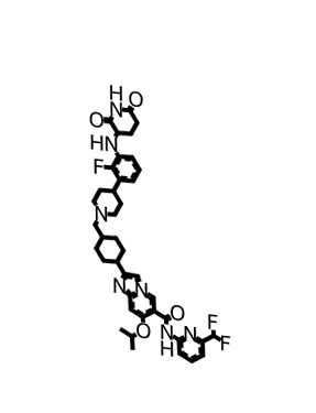 CC(C)Oc1cc2nc(C3CCC(CN4CCC(c5cccc(NC6CCC(=O)NC6=O)c5F)CC4)CC3)cn2cc1C(=O)Nc1cccc(C(F)F)n1